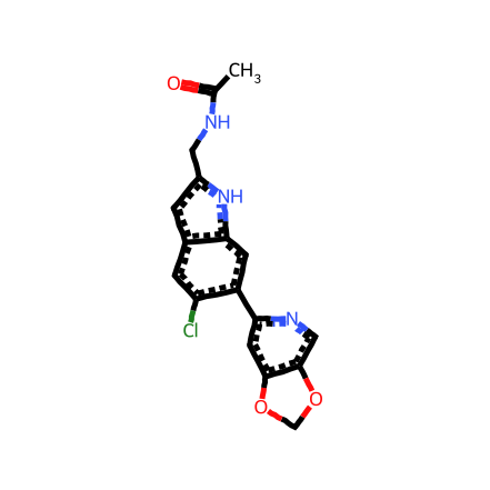 CC(=O)NCc1cc2cc(Cl)c(-c3cc4c(cn3)OCO4)cc2[nH]1